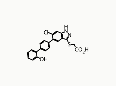 O=C(O)CSc1n[nH]c2cc(Cl)c(-c3ccc(-c4ccccc4O)cc3)cc12